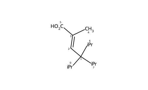 [CH2]C(C)C(C=C(C)C(=O)O)(C(C)C)C(C)C